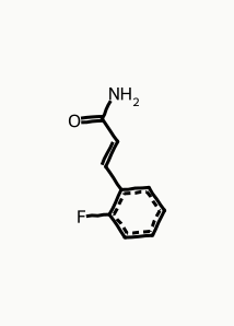 NC(=O)/C=C/c1ccccc1F